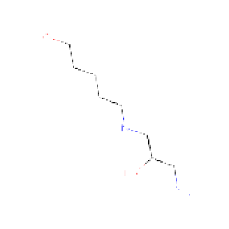 NCC(O)CNCCCCCO